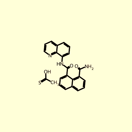 CC(O)=S.NC(=O)c1cccc2cccc(C(=O)Nc3cccc4cccnc34)c12